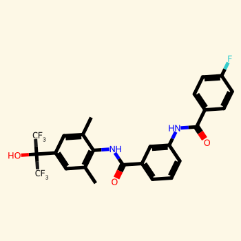 Cc1cc(C(O)(C(F)(F)F)C(F)(F)F)cc(C)c1NC(=O)c1cccc(NC(=O)c2ccc(F)cc2)c1